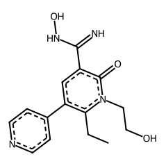 CCc1c(-c2ccncc2)cc(C(=N)NO)c(=O)n1CCO